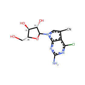 N#Cc1cn(C2O[C@H](CO)[C@@H](O)[C@@H]2O)c2nc(N)nc(Cl)c12